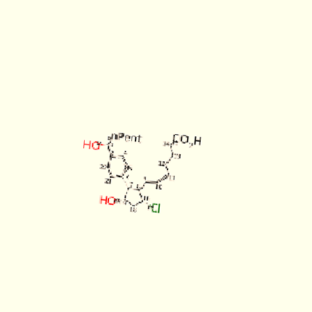 CCCCCC(O)c1ccc([C@@H]2C(C/C=C\CCCC(=O)O)[C@H](Cl)C[C@@H]2O)cc1